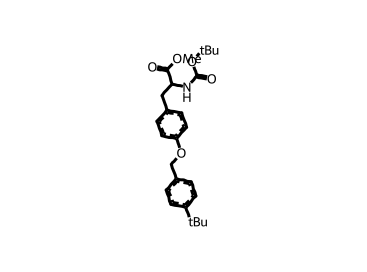 COC(=O)C(Cc1ccc(OCc2ccc(C(C)(C)C)cc2)cc1)NC(=O)OC(C)(C)C